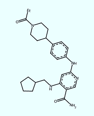 CCC(=O)N1CCC(c2ccc(Nc3cc(NCC4CCCC4)c(C(N)=O)cn3)cc2)CC1